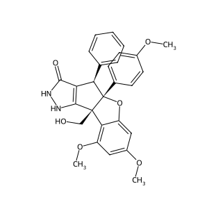 COc1ccc([C@@]23Oc4cc(OC)cc(OC)c4[C@]2(CO)c2[nH][nH]c(=O)c2[C@H]3c2ccccc2)cc1